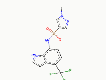 Cn1cc(S(=O)(=O)Nc2ccc(C(F)(F)F)c3cc[nH]c23)cn1